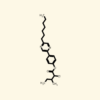 CCCCCCCc1cnc(-c2ccc(OC(=O)C(Cl)C(C)CC)cc2)cn1